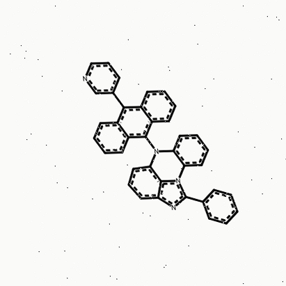 c1ccc(-c2nc3cccc4c3n2-c2ccccc2N4c2c3ccccc3c(-c3cccnc3)c3ccccc23)cc1